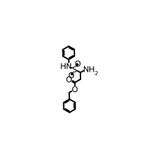 NC(CC(=O)OCc1ccccc1)S(=O)(=O)Nc1ccccc1